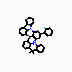 CC1(C)c2ccccc2N2c3cc(-c4ccccc4F)cc4c3B(c3cccc1c32)c1cccc2c3ccccc3n-4c12